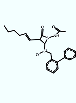 CCCCC=CC1C(=O)N(NC(C)=O)C1[S+]([O-])Cc1ccccc1-c1ccccc1